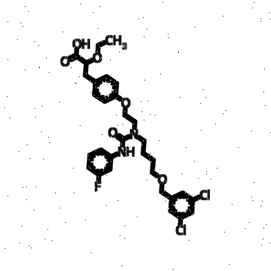 CCOC(Cc1ccc(OCCN(CCCCOCc2cc(Cl)cc(Cl)c2)C(=O)Nc2cccc(F)c2)cc1)C(=O)O